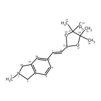 CN1Cc2ccc(/C=C/B3OC(C)(C)C(C)(C)O3)cc2C1